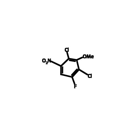 COc1c(Cl)c(F)cc([N+](=O)[O-])c1Cl